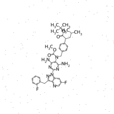 COC(=O)N(Cc1ccc(C(CC(C)C)C(=O)OC(C)(C)C)cc1)c1c(N)nc(-n2nc(Cc3ccccc3F)c3ncc(F)cc32)nc1N